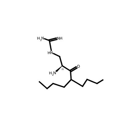 CCCCC(CCCC)C(=O)[C@@H](N)CNC(=N)N